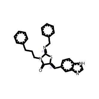 O=C1/C(=C/c2ccc3[nH]cnc3c2)S/C(=N\Cc2ccccc2)N1CCCc1ccccc1